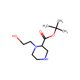 CC(C)(C)OC(=O)C1CNCCN1CCO